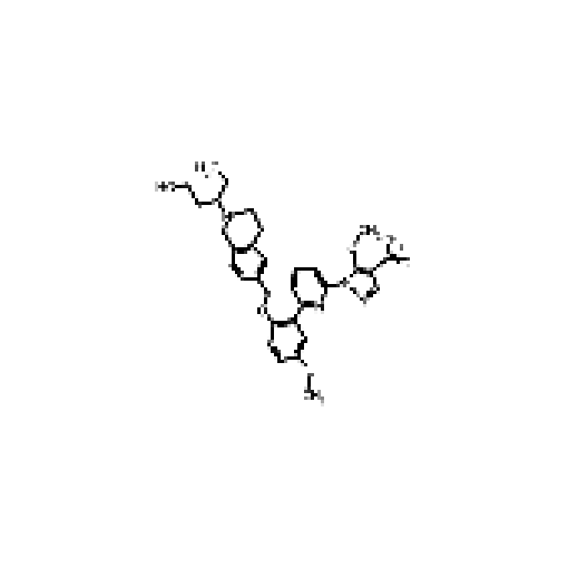 CCC(CCO)N1CCc2cc(COc3ccc(OC)cc3-c3cccc(-n4ncc(C(C)=O)c4OC)n3)ccc2C1